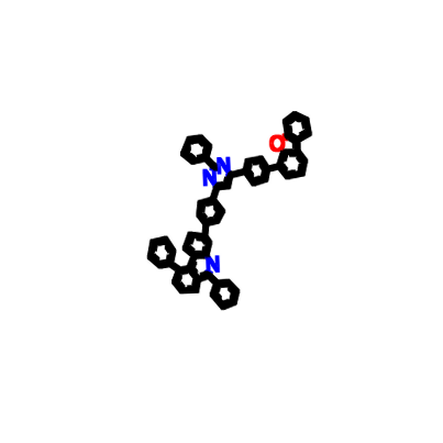 c1ccc(-c2nc(-c3ccc(-c4ccc5c(c4)nc(-c4ccccc4)c4cccc(-c6ccccc6)c45)cc3)cc(-c3ccc(-c4cccc5c4oc4ccccc45)cc3)n2)cc1